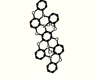 C[Si]12c3c4cccc3N3c5ccccc5Oc5ccc(c1c53)Oc1c3c5c(c(c12)O4)Oc1ccc2c4c1[Si]5(C)c1c(cccc1N4c1ccccc1O2)O3